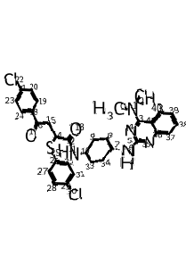 CN(C)c1nc(N[C@H]2CC[C@@H](NC(=O)C(CC(=O)c3ccc(Cl)cc3)Sc3ccc(Cl)cc3)CC2)nc2ccccc12